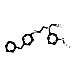 CCN(CCOc1ccc(Cc2ccccc2)cc1)c1cccc(OC)c1